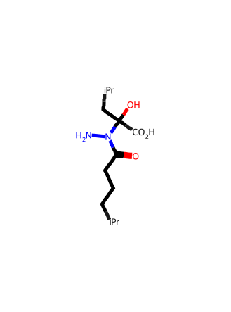 CC(C)CCCC(=O)N(N)C(O)(CC(C)C)C(=O)O